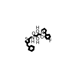 O=C(NCc1cc(Cc2ccccc2)cs1)[C@H](O)[C@@H](O)C(=O)N1CCCC1c1ccc(F)cc1